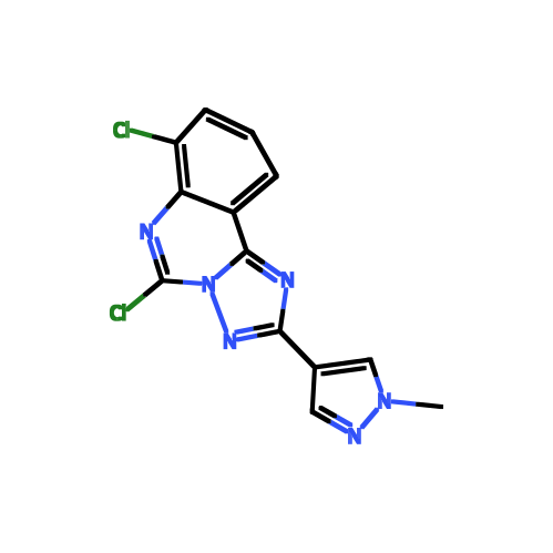 Cn1cc(-c2nc3c4cccc(Cl)c4nc(Cl)n3n2)cn1